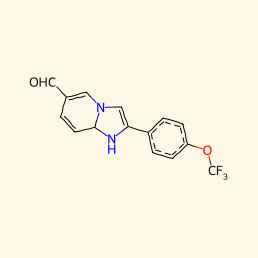 O=CC1=CN2C=C(c3ccc(OC(F)(F)F)cc3)NC2C=C1